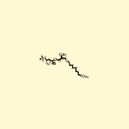 CCCCCCCCCCCCCCCCCCOCC(COP(=O)(O)CCC[N+](C)(C)C)OC(C)=O